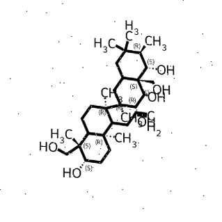 C=CCC1[C@@]2(C)CC[C@H](O)[C@](C)(CO)C2CC[C@@]1(C)[C@@]1(C)CC2CC(C)(C)[C@@H](C)[C@H](O)[C@]2(CO)[C@H](O)[C@@H]1O